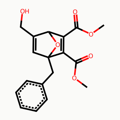 COC(=O)C1=C(C(=O)OC)C2(Cc3ccccc3)C=C(CO)C1O2